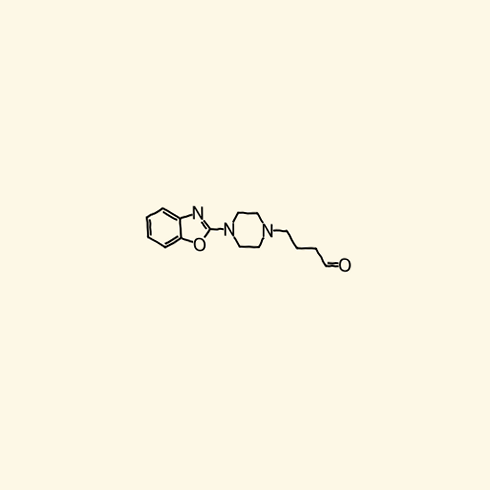 O=CCCCN1CCN(c2nc3ccccc3o2)CC1